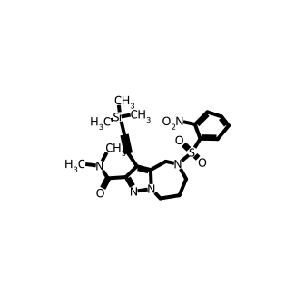 CN(C)C(=O)c1nn2c(c1C#C[Si](C)(C)C)CN(S(=O)(=O)c1ccccc1[N+](=O)[O-])CCC2